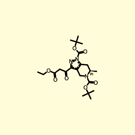 CCOC(=O)CC(=O)c1nn(C(=O)OC(C)(C)C)c2c1CN(C(=O)OC(C)(C)C)[C@H](C)C2